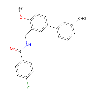 CC(C)Oc1ccc(-c2cccc(C=O)c2)cc1CNC(=O)c1ccc(Cl)cc1